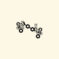 O=S(=O)(c1ccccc1)N1CCC[C@H]1c1ncc(-c2ccc(-c3ccc4nc([C@@H]5CCCN5S(=O)(=O)c5ccccc5)[nH]c4c3)cc2)[nH]1